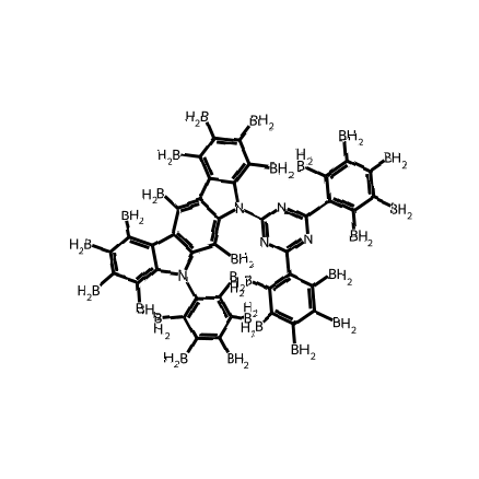 Bc1c(B)c(B)c(-c2nc(-c3c(B)c(B)c(B)c(B)c3B)nc(-n3c4c(B)c(B)c(B)c(B)c4c4c(B)c5c6c(B)c(B)c(B)c(B)c6n(-c6c(B)c(B)c(B)c(B)c6B)c5c(B)c43)n2)c(B)c1B